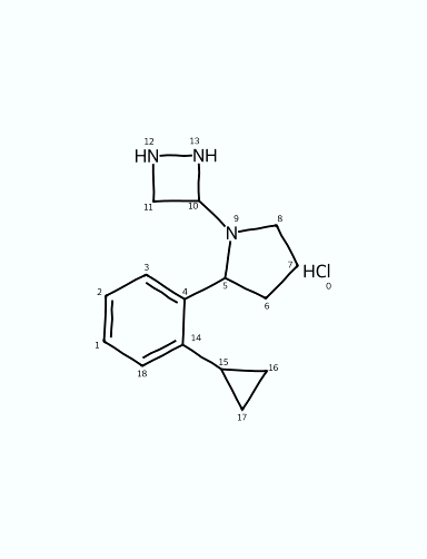 Cl.c1ccc(C2CCCN2C2CNN2)c(C2CC2)c1